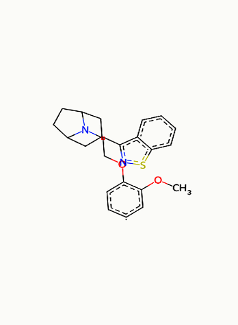 COc1c[c]ccc1OCCN1C2CCC1CC(c1nsc3ccccc13)C2